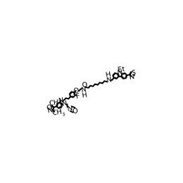 CCn1c2ccc(CNCCCCCCCCCC(=O)NCCOc3ccc(CCc4nc5cc(-c6c(C)noc6C)ccc5n4CCN4CCOCC4)cc3F)cc2c2ccc(-c3cscn3)cc21